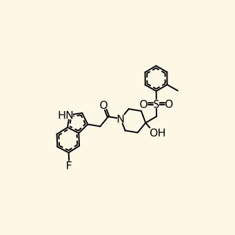 Cc1ccccc1S(=O)(=O)CC1(O)CCN(C(=O)Cc2c[nH]c3ccc(F)cc23)CC1